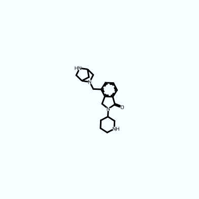 O=C1c2cccc(CN3CC4CC3CN4)c2CN1C1CCCNC1